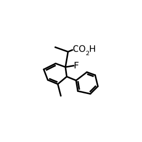 CC1=CC=CC(F)(C(C)C(=O)O)C1c1ccccc1